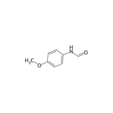 COc1ccc(NC=O)cc1